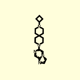 c1cn2cc(N3CCC4(CC3)CCN(C3CCC3)CC4)ncc2n1